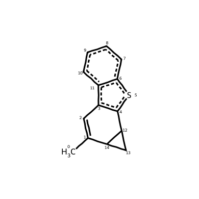 CC1=Cc2c(sc3ccccc23)C2CC12